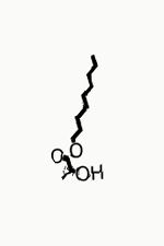 CCCCCCCCCOC(=O)[C@H](C)O